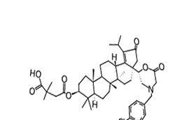 CC(C)C1=C2[C@H]3CCC4[C@@]5(C)CC[C@H](OC(=O)CC(C)(C)C(=O)O)C(C)(C)[C@@H]5CC[C@@]4(C)[C@]3(C)CC[C@@]2([C@H]2CN(Cc3ccc(Cl)cc3)CC(=O)O2)CC1=O